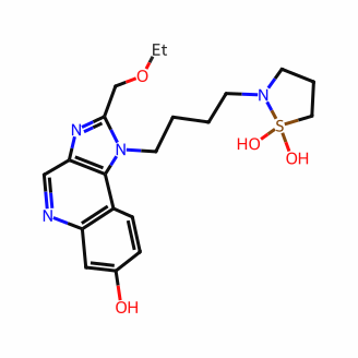 CCOCc1nc2cnc3cc(O)ccc3c2n1CCCCN1CCCS1(O)O